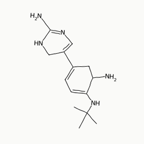 CC(C)(C)NC1=CC=C(C2=CN=C(N)NC2)CC1N